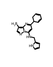 Bc1cnn2c(NCc3ccc[nH]3)cc(C3C=CC=CC3)nc12